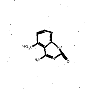 Nc1nc(=O)[nH]c2cccc(C(=O)O)c12